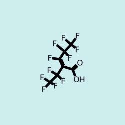 O=C(O)C(=C(F)C(F)(F)C(F)(F)F)C(F)(F)C(F)(F)F